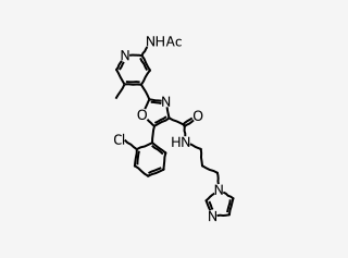 CC(=O)Nc1cc(-c2nc(C(=O)NCCCn3ccnc3)c(-c3ccccc3Cl)o2)c(C)cn1